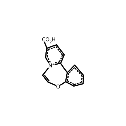 O=C(O)c1ccc2[n+](c1)C=COc1ccccc1-2